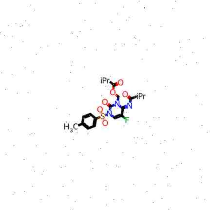 Cc1ccc(S(=O)(=O)n2cc(F)/c(=N/C(=O)C(C)C)n(COC(=O)C(C)C)c2=O)cc1